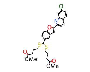 COC(=O)CCCSC(SCCCC(=O)OC)c1ccc2oc(-c3ccc4ccc(Cl)cc4n3)cc2c1